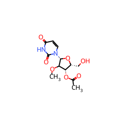 COC1[C@@H](OC(C)=O)[C@@H](CO)O[C@H]1n1ccc(=O)[nH]c1=O